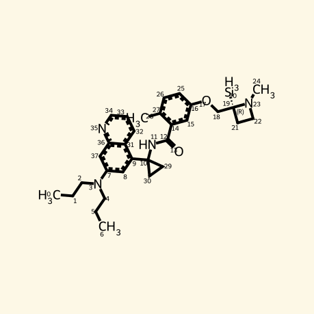 CCCN(CCC)c1cc(C2(NC(=O)c3cc(OC[C@]4([SiH3])CCN4C)ccc3C)CC2)c2cccnc2c1